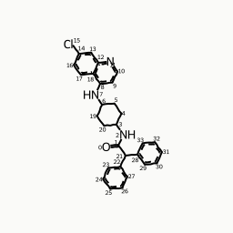 O=C(NC1CCC(Nc2ccnc3cc(Cl)ccc23)CC1)C(c1ccccc1)c1ccccc1